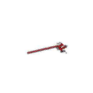 COCCOCCOCCOCCOCCOCCOCCOCCOCCOCCOCCOCCOCCOCCOCCOCCOCCOCCOCCOCCOCCOCCOCCOCCC(=O)NCCCC[C@H](NC(=O)OCC1c2ccccc2-c2ccccc21)C(=O)NCCC(=O)N[C@H](C(=O)N[C@@H](CCCNC(N)=O)C(=O)Nc1ccc(COC(=O)Oc2ccc([N+](=O)[O-])cc2)cc1)C(C)C